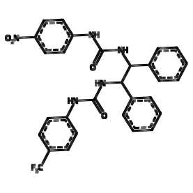 O=C(Nc1ccc([N+](=O)[O-])cc1)NC(c1ccccc1)C(NC(=O)Nc1ccc(C(F)(F)F)cc1)c1ccccc1